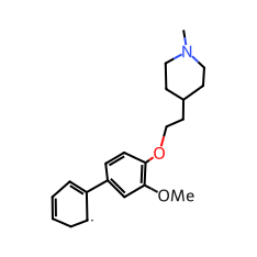 COc1cc(C2=CC=CC[CH]2)ccc1OCCC1CCN(C)CC1